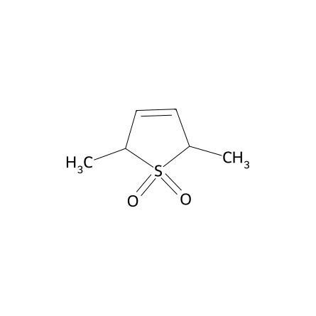 CC1C=CC(C)S1(=O)=O